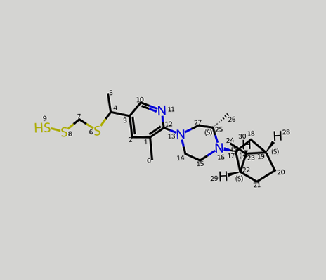 Cc1cc(C(C)SCSS)cnc1N1CCN([C@H]2C[C@@H]3CC[C@H]2[C@@H]3C)[C@@H](C)C1